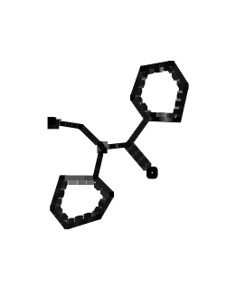 O=C(c1ccccc1)N(CBr)c1ccccc1